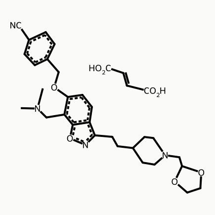 CN(C)Cc1c(OCc2ccc(C#N)cc2)ccc2c(CCC3CCN(CC4OCCO4)CC3)noc12.O=C(O)C=CC(=O)O